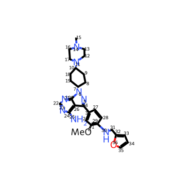 COc1cc(-c2nn([C@H]3CC[C@H](N4CCN(C)CC4)CC3)c3ncnc(N)c23)ccc1NCc1ccco1